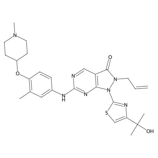 C=CCn1c(=O)c2cnc(Nc3ccc(OC4CCN(C)CC4)c(C)c3)nc2n1-c1nc(C(C)(C)O)cs1